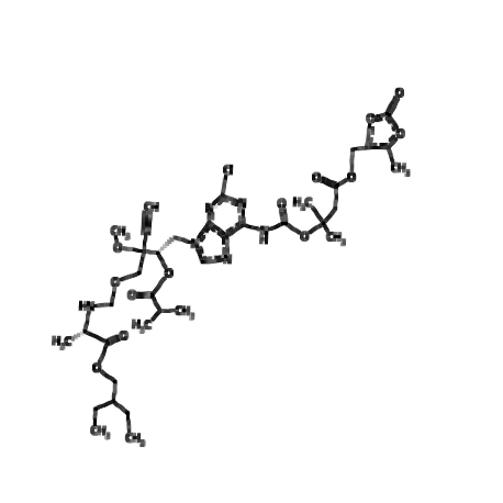 C#CC(COCN[C@@H](C)C(=O)OCC(CC)CC)(OC)[C@H](Cn1cnc2c(NC(=O)OC(C)(C)CC(=O)OCc3oc(=O)oc3C)nc(Cl)nc21)OC(=O)C(C)C